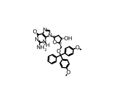 [2H]n1c(N)nc(=O)c2ncn([C@H]3C[C@H](O)[C@@H](COC(c4ccccc4)(c4ccc(OC)cc4)c4ccc(OC)cc4)O3)c21